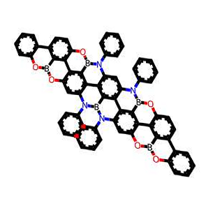 c1ccc(N2B3c4c5c(cc6c4-c4c(cc7c8c4B(Oc4ccc9c(c4-8)B(Oc4ccccc4-9)O7)N6c4ccccc4)N3c3ccccc3)N(c3ccccc3)B3Oc4ccc6c7c4-c4c(cc2c-5c43)OB7Oc2ccccc2-6)cc1